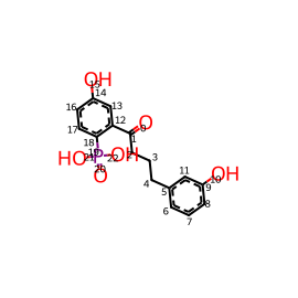 O=C(CCCc1cccc(O)c1)c1cc(O)ccc1P(=O)(O)O